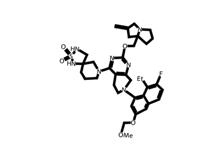 C=C1CN2CCCC2(COc2nc3c(c(N4CCCC5(CNS(=O)(=O)N5)C4)n2)CCN(c2cc(OCOC)cc4ccc(F)c(CC)c24)C3)C1